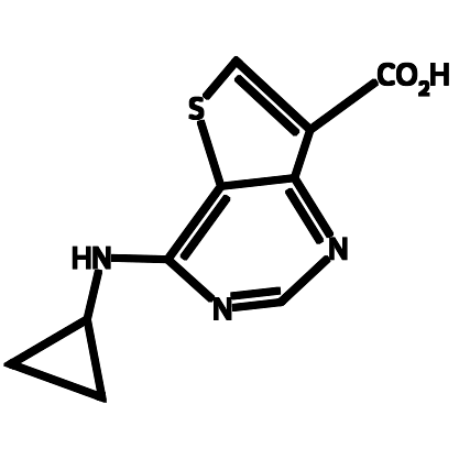 O=C(O)c1csc2c(NC3CC3)ncnc12